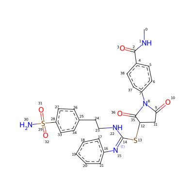 CNC(=O)c1ccc(N2C(=O)CC(S/C(=N/c3ccccc3)NCCc3ccc(S(N)(=O)=O)cc3)C2=O)cc1